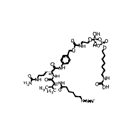 CC(C)[C@@H](NC(=O)CCCCCN=[N+]=[N-])C(=O)N[C@H](CCCNC(N)=O)C(=O)Nc1ccc(COC(=O)NCCOP(=O)(O)OP(=O)(O)OCCCCCCCNC(=O)O)cc1